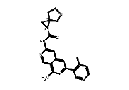 Cc1ccncc1-c1cc2cc(NC(=O)[C@H]3C[C@]34CCNC4)ncc2c(N)n1